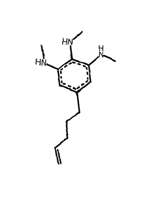 C=CCCCc1cc(NC)c(NC)c(NC)c1